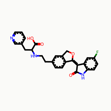 O=C1Nc2ccc(F)cc2/C1=C1\OCc2cc(CCNC(Cc3cccnc3)C(=O)O)ccc21